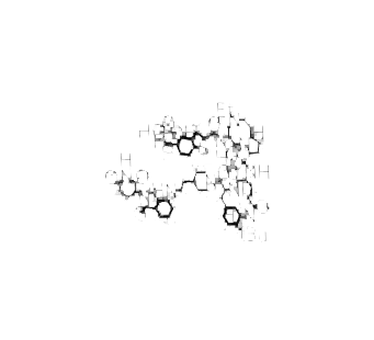 CCN1CC[C@H]2CC[C@@H](C(=O)NC(CCC(N)=O)C(=O)NC(Cc3ccc(C(C)(C)C)cc3)C(=O)N3CCC(CCNc4cccc5c4CN(C4CCC(=O)NC4=O)C5=O)CC3)N2C(=O)[C@@H](NC(=O)c2cc3cc(C(F)(F)P(=O)(O)O)ccc3s2)C1